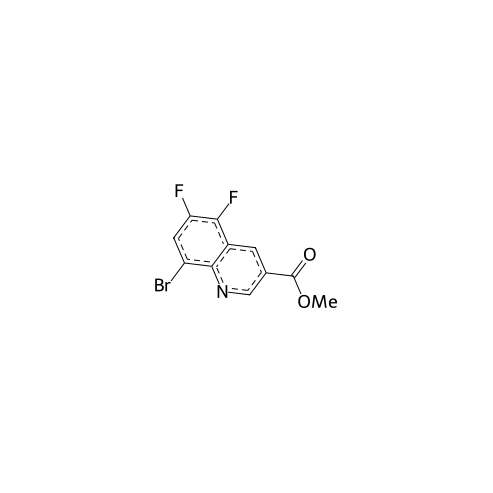 COC(=O)c1cnc2c(Br)cc(F)c(F)c2c1